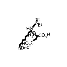 CCCCCCCCCCCCCCCCCC(=O)NCCN(CC)CC.NC(CCC(=O)O)C(=O)O